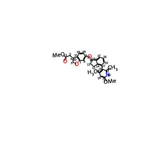 COC(=O)C[C@@H]1COc2cc(O[C@@H]3CCc4c(-c5c(C)cc(OC)nc5C)cccc43)ccc21